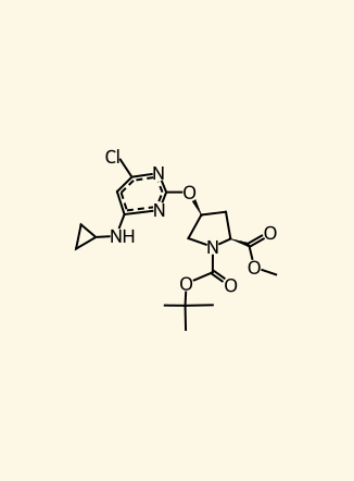 COC(=O)[C@@H]1C[C@H](Oc2nc(Cl)cc(NC3CC3)n2)CN1C(=O)OC(C)(C)C